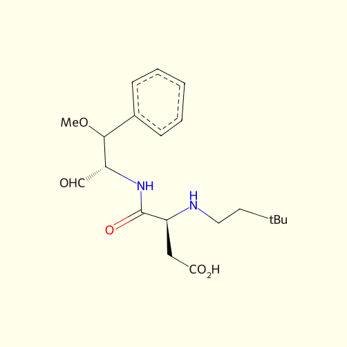 COC(c1ccccc1)[C@@H](C=O)NC(=O)[C@H](CC(=O)O)NCCC(C)(C)C